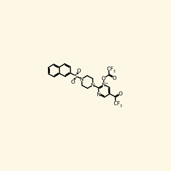 O=C(O[n+]1cc(C(=O)C(F)(F)F)cnc1N1CCN(S(=O)(=O)c2ccc3ccccc3c2)CC1)C(F)(F)F